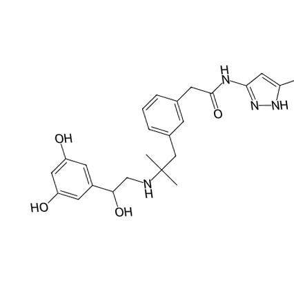 Cc1cc(NC(=O)Cc2cccc(CC(C)(C)NCC(O)c3cc(O)cc(O)c3)c2)n[nH]1